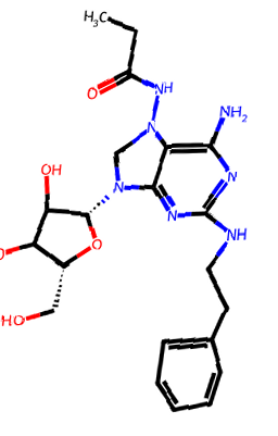 CCC(=O)NN1CN([C@@H]2O[C@H](CO)C(O)C2O)c2nc(NCCc3ccccc3)nc(N)c21